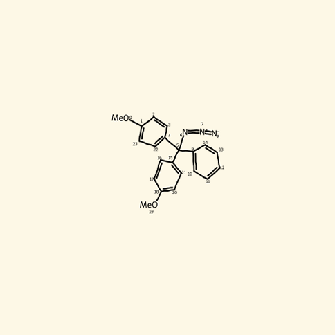 COc1ccc(C(N=[N+]=[N-])(c2ccccc2)c2ccc(OC)cc2)cc1